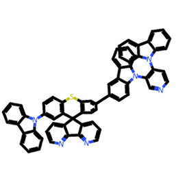 c1cnc2c(c1)C1(c3ccc(-c4ccc5c(c4)c4ccccc4n5-c4cnccc4-n4c5ccccc5c5ccccc54)cc3Sc3ccc(-n4c5ccccc5c5ccccc54)cc31)c1cccnc1-2